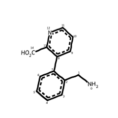 NCc1ccccc1-c1cccnc1C(=O)O